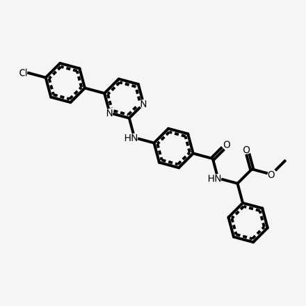 COC(=O)C(NC(=O)c1ccc(Nc2nccc(-c3ccc(Cl)cc3)n2)cc1)c1ccccc1